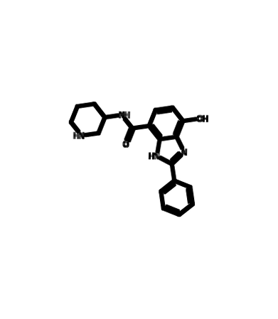 O=C(NC1CCCNC1)c1ccc(O)c2nc(-c3ccccc3)[nH]c12